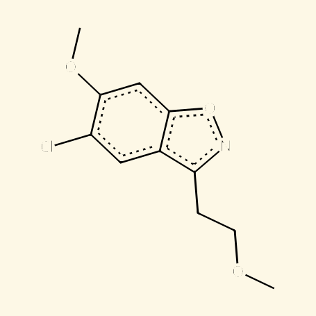 COCCc1noc2cc(OC)c(Cl)cc12